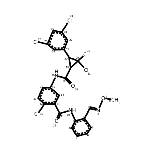 CO/N=C/c1ccccc1NC(=O)c1cc(NC(=O)C2C(c3cc(Cl)cc(Cl)c3)C2(Cl)Cl)ccc1Cl